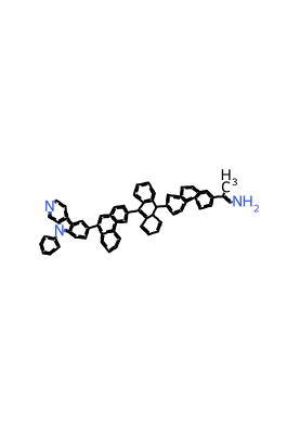 C/C(=C\N)c1ccc2c(ccc3cc(C4c5ccccc5C(c5ccc6cc(-c7ccc8c(c7)c7ccncc7n8-c7ccccc7)c7ccccc7c6c5)=C5C=CC=CC54)ccc32)c1